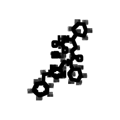 CC(C)(C)OC(=O)NC(CCC(=O)N(Cc1ncn(Cc2ccccc2)n1)C1CCCCC1)C1CCCCC1